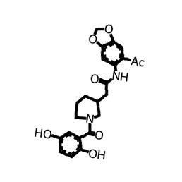 CC(=O)c1cc2c(cc1NC(=O)CC1CCCN(C(=O)c3cc(O)ccc3O)C1)OCO2